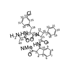 CNC(=O)[C@@H]1Cc2ccccc2[C@@H]1NC(=O)C1C(c2ccccc2)CN1C(=O)C(Cc1cccc(Cl)c1)NC(=O)C(C)N